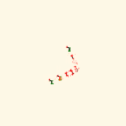 O=C(O)C(=O)O.O=C(O)C(=O)O.O=C(O)C(=O)O.O=C(O)C(F)C(F)(F)F.O=C(O)C(F)C(F)(F)F.O=C(O)C(F)C(F)(F)F.[Li+].[Li+].[Li+].[O-]B([O-])[O-]